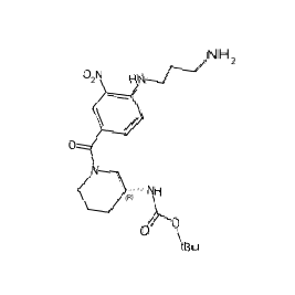 CC(C)(C)OC(=O)N[C@@H]1CCCN(C(=O)c2ccc(NCCCN)c([N+](=O)[O-])c2)C1